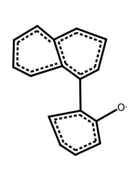 [O]c1ccccc1-c1cccc2ccccc12